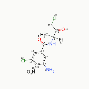 CCC(C)(NC(=O)c1cc(N)c([N+](=O)[O-])c(Cl)c1)C(=O)CCl